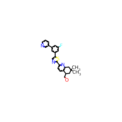 CC1(C)Cc2nc(-c3ncc(-c4cc(F)cc(-c5cccnc5)c4)s3)ccc2C(C=O)C1